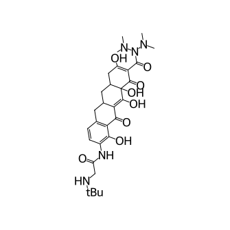 CN(C)N(C(=O)C1=C(O)CC2CC3Cc4ccc(NC(=O)CNC(C)(C)C)c(O)c4C(=O)C3=C(O)C2(O)C1=O)N(C)C